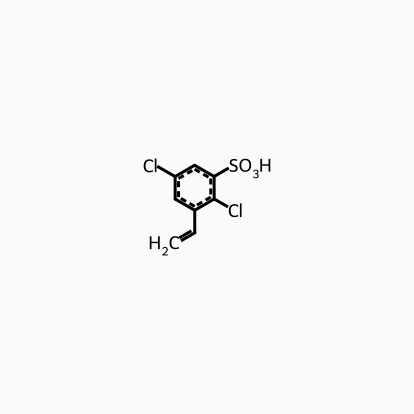 C=Cc1cc(Cl)cc(S(=O)(=O)O)c1Cl